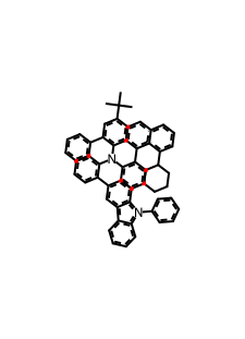 CC(C)(C)c1ccc(N(c2ccccc2-c2ccc3c(c2)c2ccccc2n3-c2ccccc2)c2ccccc2-c2cccc3cccc(C4CCCCC4)c23)c(-c2ccccc2)c1